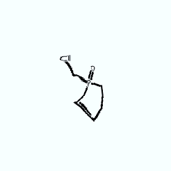 O=P1(CCl)C=CCC1